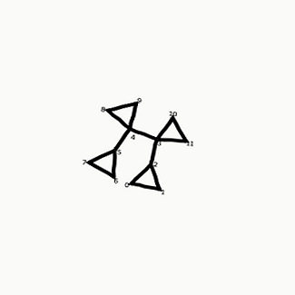 C1C[C]1C1(C2([C]3CC3)CC2)CC1